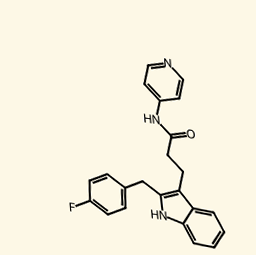 O=C(CCc1c(Cc2ccc(F)cc2)[nH]c2ccccc12)Nc1ccncc1